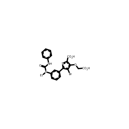 CCN(C(=O)Nc1ccccc1)c1cccc(-c2sc(C(=O)O)c(OCC(=O)O)c2Br)c1